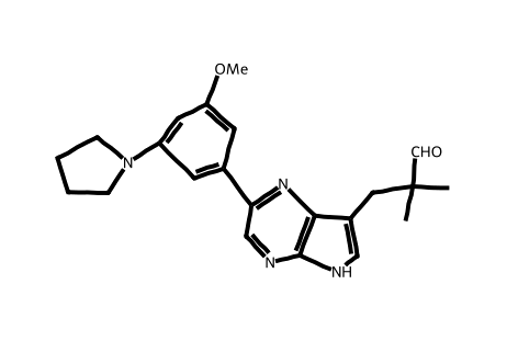 COc1cc(-c2cnc3[nH]cc(CC(C)(C)C=O)c3n2)cc(N2CCCC2)c1